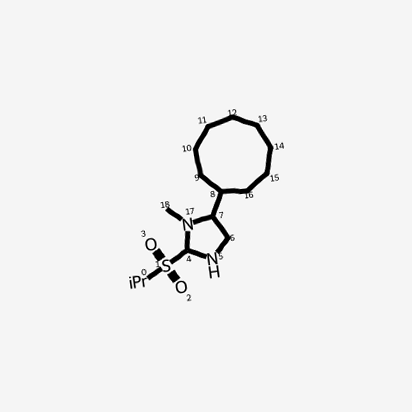 CC(C)S(=O)(=O)C1NCC(C2CCCCCCCC2)N1C